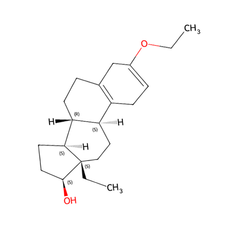 CCOC1=CCC2=C(CC[C@@H]3[C@@H]2CC[C@]2(CC)[C@@H](O)CC[C@@H]32)C1